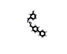 Cc1cccc(/[C]=N\OCc2ccc(-c3ccccc3)cc2)c1